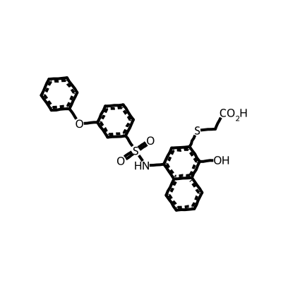 O=C(O)CSc1cc(NS(=O)(=O)c2cccc(Oc3ccccc3)c2)c2ccccc2c1O